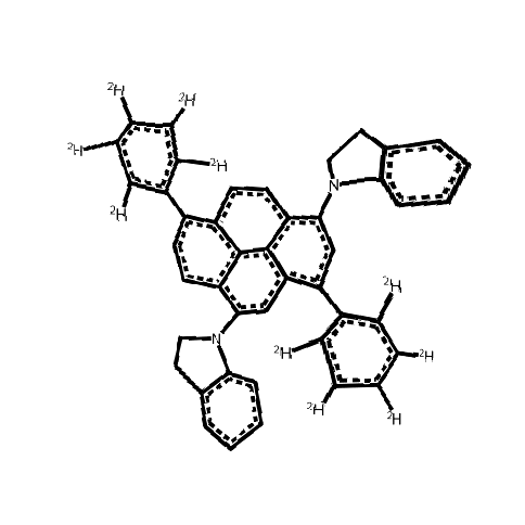 [2H]c1c([2H])c([2H])c(-c2ccc3c(N4CCc5ccccc54)cc4c(-c5c([2H])c([2H])c([2H])c([2H])c5[2H])cc(N5CCc6ccccc65)c5ccc2c3c45)c([2H])c1[2H]